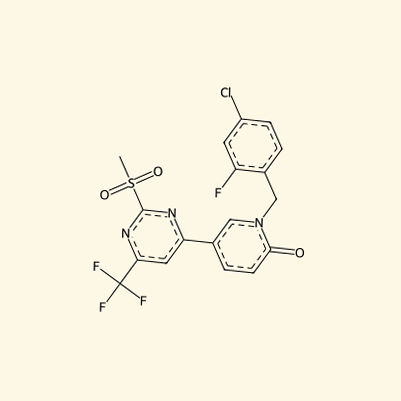 CS(=O)(=O)c1nc(-c2ccc(=O)n(Cc3ccc(Cl)cc3F)c2)cc(C(F)(F)F)n1